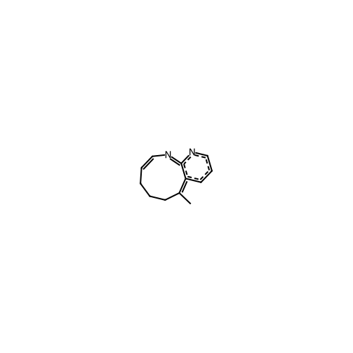 C\C1=c2/cccn/c2=N/C=C\CCC1